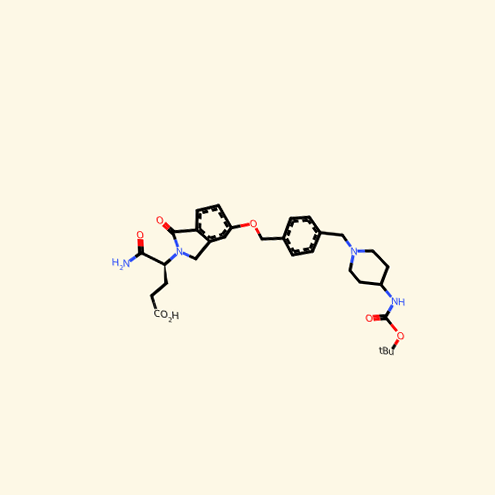 CC(C)(C)OC(=O)NC1CCN(Cc2ccc(COc3ccc4c(c3)CN([C@@H](CCC(=O)O)C(N)=O)C4=O)cc2)CC1